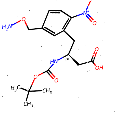 CC(C)(C)OC(=O)N[C@H](CC(=O)O)Cc1cc(CON)ccc1[N+](=O)[O-]